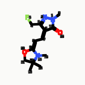 CN1N=C(CF)/C(=C\C=C2\OCC(C)(C)N2C)C1=O